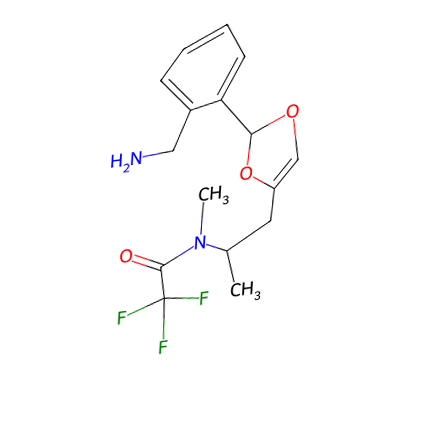 CC(CC1=COC(c2ccccc2CN)O1)N(C)C(=O)C(F)(F)F